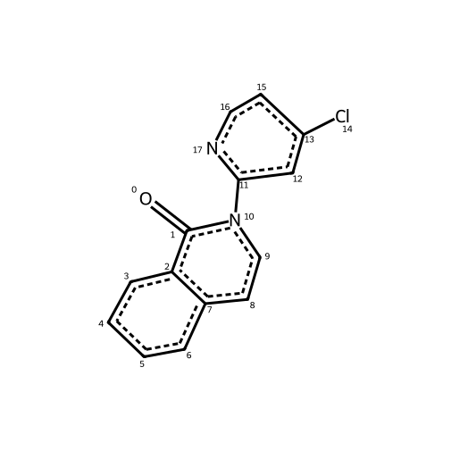 O=c1c2ccccc2ccn1-c1cc(Cl)ccn1